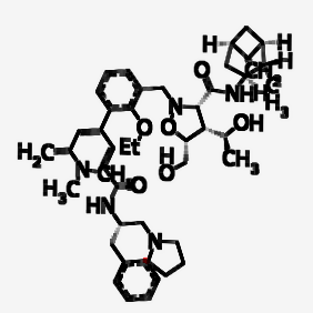 C=C1[C@H]2C[C@H](NC(=O)[C@@H]3[C@H]([C@H](C)O)[C@H](CO)ON3Cc3cccc(C(/C=C/C(=O)N[C@@H](Cc4ccccc4)CN4CCCC4)=C/C(=C)N(C)C)c3OCC)[C@@H](C)[C@@H]1C2